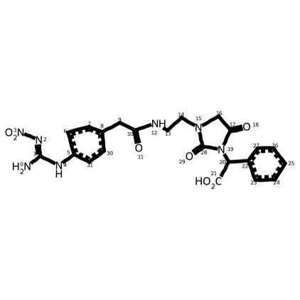 NC(=N[N+](=O)[O-])Nc1ccc(CC(=O)NCCN2CC(=O)N(C(C(=O)O)c3ccccc3)C2=O)cc1